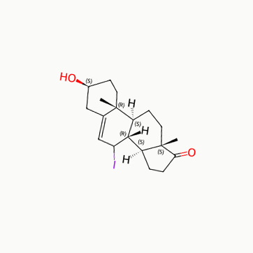 C[C@]12CC[C@H](O)CC1=CC(I)[C@@H]1[C@@H]2CC[C@]2(C)C(=O)CC[C@@H]12